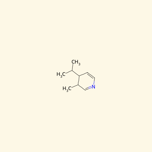 CC(C)C1C=CN=CC1C